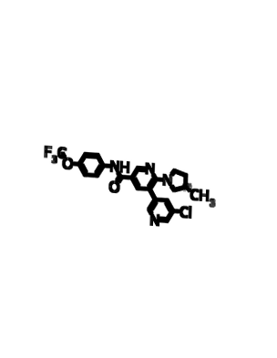 C[C@@H]1CCN(c2ncc(C(=O)Nc3ccc(OC(F)(F)F)cc3)cc2-c2cncc(Cl)c2)C1